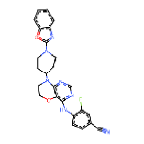 N#Cc1ccc(Nc2ncnc3c2OCCN3C2CCN(c3nc4ccccc4o3)CC2)c(F)c1